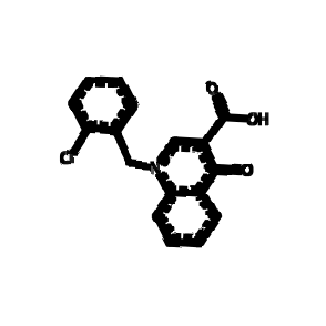 O=C(O)c1cn(Cc2ccccc2Cl)c2ccccc2c1=O